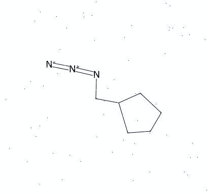 [N-]=[N+]=NCC1CCCC1